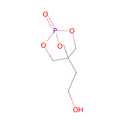 O=P12OCC(CCO)(CO1)CO2